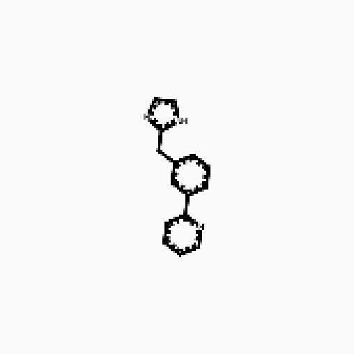 c1ccc(-c2cccc(Cc3ncc[nH]3)c2)nc1